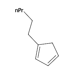 [CH2]CCCCC1=CC=CC1